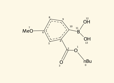 CCCCOC(=O)c1cc(OC)ccc1B(O)O